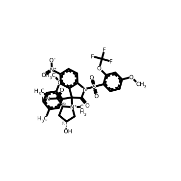 CNC(=O)[C@@H]1C[C@@H](O)C[N+]1(C)C1(c2cc(C)ccc2OC)C(=O)N(S(=O)(=O)c2ccc(OC)cc2OC(F)(F)F)c2ccc([N+](=O)[O-])cc21